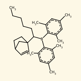 CCCCCC(B(c1c(C)cc(C)cc1C)c1c(C)cc(C)cc1C)C12C=CC(CC1)C2